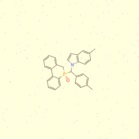 Cc1ccc(C(n2ccc3cc(C)ccc32)P2(=O)Cc3ccccc3-c3ccccc32)cc1